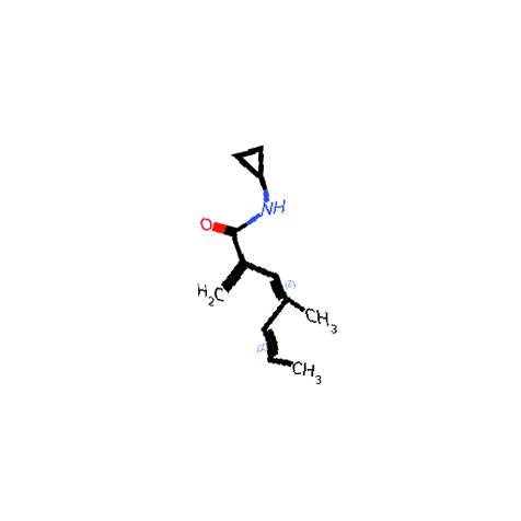 C=C(/C=C(C)\C=C/C)C(=O)NC1CC1